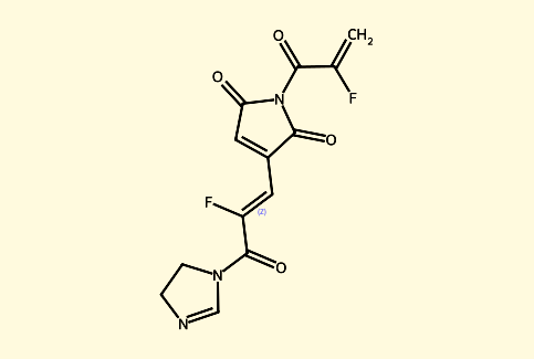 C=C(F)C(=O)N1C(=O)C=C(/C=C(\F)C(=O)N2C=NCC2)C1=O